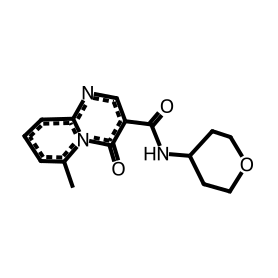 Cc1cccc2ncc(C(=O)NC3CCOCC3)c(=O)n12